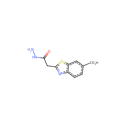 NNC(=O)Cc1nc2ccc(C(=O)O)cc2s1